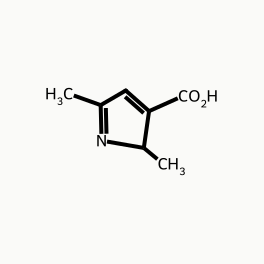 CC1=NC(C)C(C(=O)O)=C1